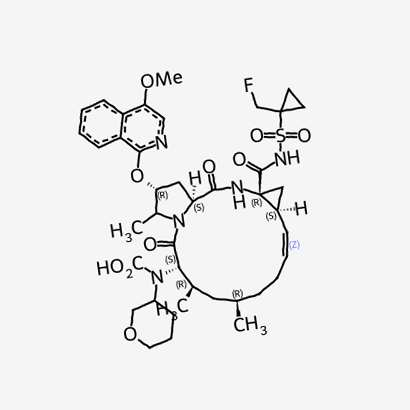 COc1cnc(O[C@@H]2C[C@H]3C(=O)N[C@]4(C(=O)NS(=O)(=O)C5(CF)CC5)C[C@H]4/C=C\CC[C@@H](C)C[C@@H](C)[C@H](N(C(=O)O)C4CCCOC4)C(=O)N3C2C)c2ccccc12